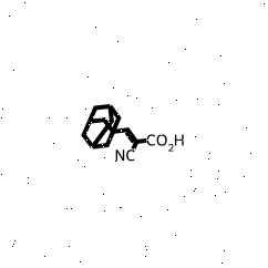 N#C/C(=C\C12CC3CC(CC(C3)C1)C2)C(=O)O